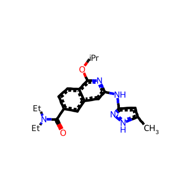 CCN(CC)C(=O)c1ccc2c(OC(C)C)nc(Nc3cc(C)[nH]n3)cc2c1